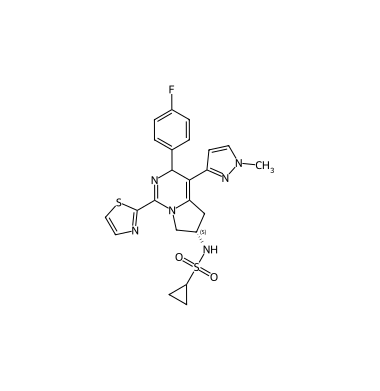 Cn1ccc(C2=C3C[C@H](NS(=O)(=O)C4CC4)CN3C(c3nccs3)=NC2c2ccc(F)cc2)n1